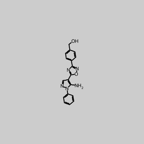 Nc1c(-c2nc(-c3ccc(CO)cc3)no2)cnn1-c1ccccc1